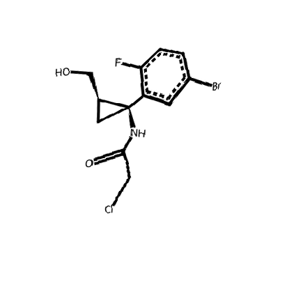 O=C(CCl)N[C@@]1(c2cc(Br)ccc2F)C[C@H]1CO